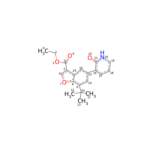 CCOC(=O)c1coc2c(C(C)(C)C)cc(-c3ccc[nH]c3=O)cc12